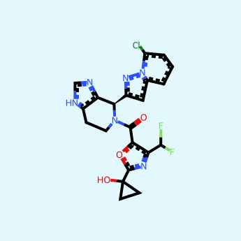 O=C(c1oc(C2(O)CC2)nc1C(F)F)N1CCc2[nH]cnc2[C@H]1c1cc2cccc(Cl)n2n1